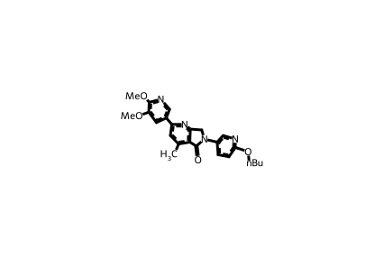 CCCCOc1ccc(N2Cc3nc(-c4cnc(OC)c(OC)c4)cc(C)c3C2=O)cn1